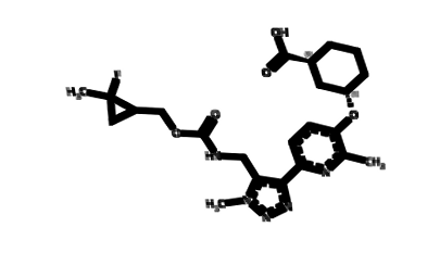 Cc1nc(-c2nnn(C)c2CNC(=O)OCC2CC2(C)F)ccc1O[C@H]1CCC[C@H](C(=O)O)C1